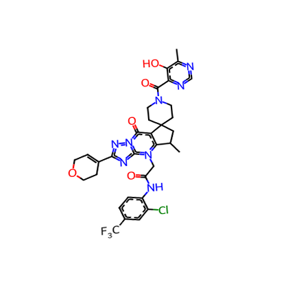 Cc1ncnc(C(=O)N2CCC3(CC2)CC(C)c2c3c(=O)n3nc(C4=CCOCC4)nc3n2CC(=O)Nc2ccc(C(F)(F)F)cc2Cl)c1O